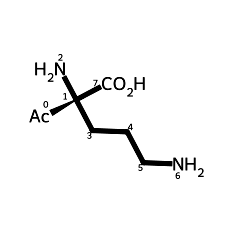 CC(=O)[C@](N)(CCCN)C(=O)O